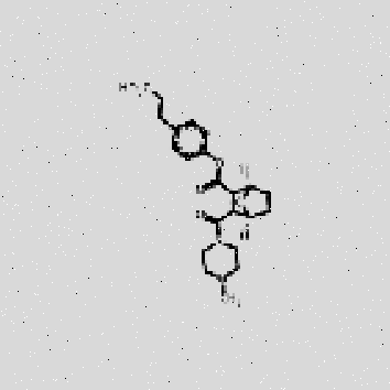 CN1CCN(C(=O)C2C(C(=O)Oc3ccc(CCC(=O)O)cc3)[C@H]3CC[C@@H]2O3)CC1